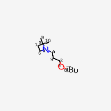 CCC(C)OCCCN1CCC1(C)C